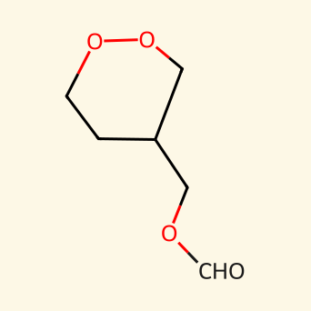 O=COCC1CCOOC1